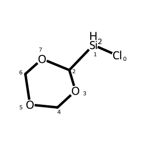 Cl[SiH2]C1OCOCO1